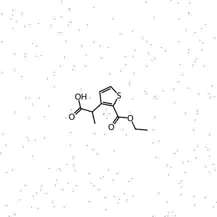 CCOC(=O)c1sccc1C(C)C(=O)O